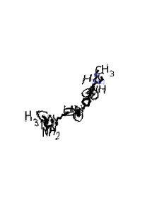 C\C=C/C(=C\C=C\C)CNS(=O)(=O)c1ccc(CNC(=O)OCCCCn2cnc3c(N)nc(C)nc32)cc1